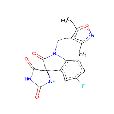 Cc1noc(C)c1CN1C(=O)C2(NC(=O)NC2=O)c2cc(F)ccc21